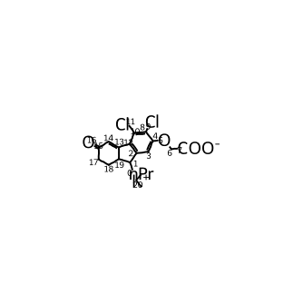 CCCC1c2cc(OCC(=O)[O-])c(Cl)c(Cl)c2C2=CC(=O)CCC21.[K+]